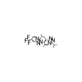 Cc1cc(CC(C)c2nnc3cc(C(F)(F)F)ccn23)c2nnc(C(C)C)n2c1